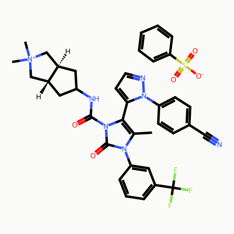 Cc1c(-c2ccnn2-c2ccc(C#N)cc2)n(C(=O)NC2C[C@@H]3C[N+](C)(C)C[C@H]3C2)c(=O)n1-c1cccc(C(F)(F)F)c1.O=S(=O)([O-])c1ccccc1